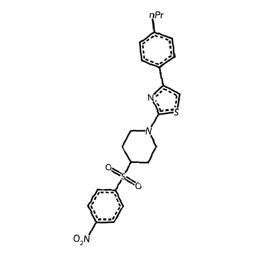 CCCc1ccc(-c2csc(N3CCC(S(=O)(=O)c4ccc([N+](=O)[O-])cc4)CC3)n2)cc1